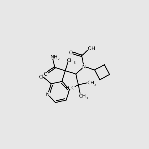 CC(C)(C)C(N(C(=O)O)C1CCC1)C(C)(C(N)=O)c1cccnc1Cl